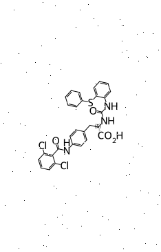 O=C(Nc1ccccc1Sc1ccccc1)N[C@@H](Cc1ccc(NC(=O)c2c(Cl)cccc2Cl)cc1)C(=O)O